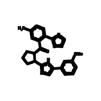 COc1cccc(-c2cnc(C3CCCN3C(=O)c3cc(C)ccc3-n3nccn3)[nH]2)c1